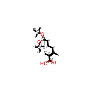 CC(CCC[SiH](O[Si](C)(C)C)O[Si](C)(C)C)=C(C)C(=O)O